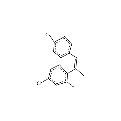 CC(=Cc1ccc(Cl)cc1)c1ccc(Cl)cc1F